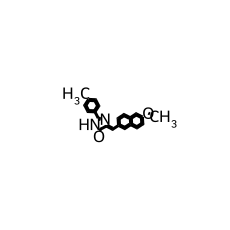 COc1ccc2cc(/C=C3\N=C(c4ccc(C)cc4)NC3=O)ccc2c1